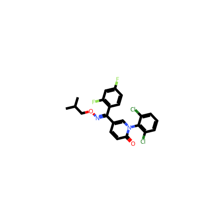 CC(C)CON=C(c1ccc(=O)n(-c2c(Cl)cccc2Cl)c1)c1ccc(F)cc1F